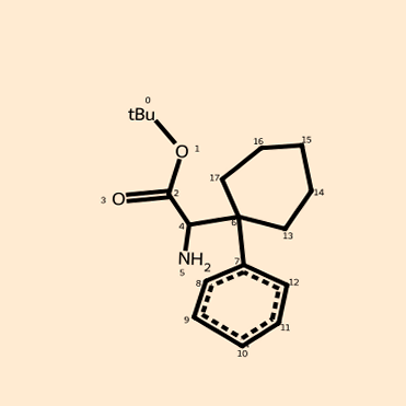 CC(C)(C)OC(=O)C(N)C1(c2cc[c]cc2)CCCCC1